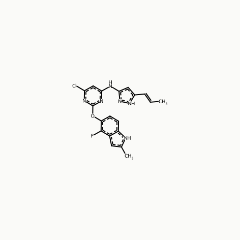 CC=Cc1cc(Nc2cc(Cl)nc(Oc3ccc4[nH]c(C)cc4c3F)n2)n[nH]1